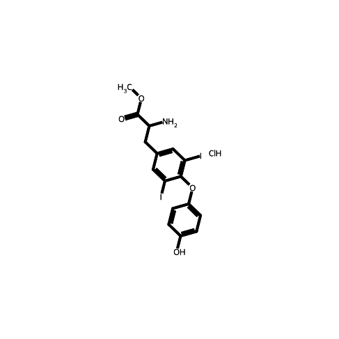 COC(=O)C(N)Cc1cc(I)c(Oc2ccc(O)cc2)c(I)c1.Cl